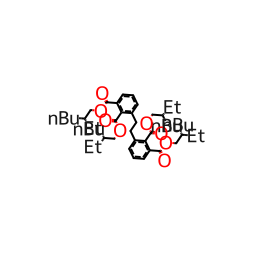 CCCCC(CC)COC(=O)c1cccc(CCc2cccc(C(=O)OCC(CC)CCCC)c2C(=O)OCC(CC)CCCC)c1C(=O)OCC(CC)CCCC